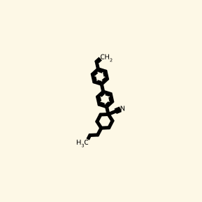 C=Cc1ccc(-c2ccc(C3(C#N)CCC(CCC)CC3)cc2)cc1